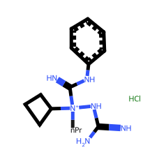 CCC[N+](NC(=N)N)(C(=N)Nc1ccccc1)C1CCC1.Cl